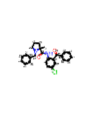 CC1(C(=O)Nc2ccc(Cl)cc2C(=O)c2ccccc2)CCCN1Cc1ccccc1